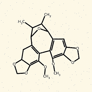 COC1=C2OCOC2CC2=C1c1c(cc3c(c1OC)OCO3)C1OC2C(C)C1C